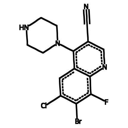 N#Cc1cnc2c(F)c(Br)c(Cl)cc2c1N1CCNCC1